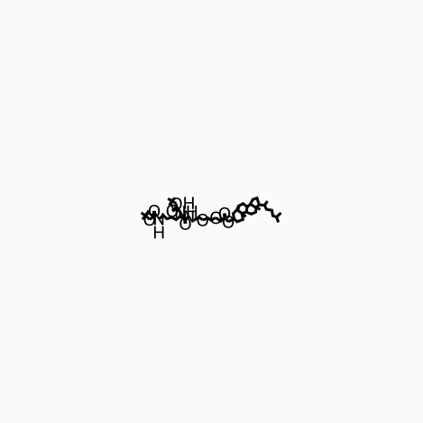 CC(C)CCCC(C)C1CCC2C3CC=C4CC(OC(=O)COCCOCCNC(=O)C(CCCCNC(=O)OC(C)(C)C)NC(=O)OC(C)(C)C)CCC4(C)C3CCC12C